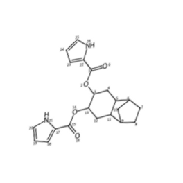 O=C(OC1CC2C3CCC(C3)C2CC1OC(=O)c1ccc[nH]1)c1ccc[nH]1